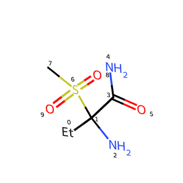 CCC(N)(C(N)=O)S(C)(=O)=O